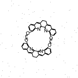 c1cc2c3nc4c(cc3c1)CCc1cc3cccc(c3nc1-4)OCOc1cccc3cc4c(nc13)-c1nc3c(cccc3cc1CC4)OCO2